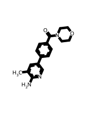 Cc1cc(-c2ccc(C(=O)N3CCOCC3)cc2)cnc1N